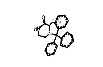 CC1C(=O)NCCN1C(c1ccccc1)(c1ccccc1)c1ccccc1